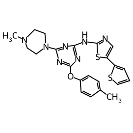 Cc1ccc(Oc2nc(Nc3ncc(-c4cccs4)s3)nc(N3CCN(C)CC3)n2)cc1